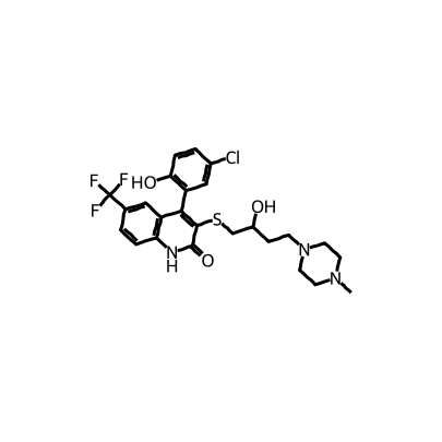 CN1CCN(CCC(O)CSc2c(-c3cc(Cl)ccc3O)c3cc(C(F)(F)F)ccc3[nH]c2=O)CC1